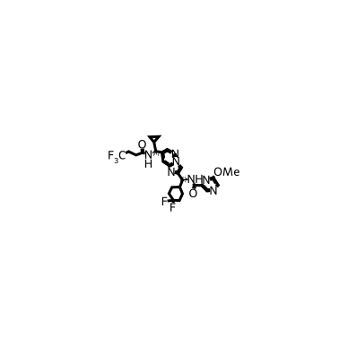 COc1cncc(C(=O)N[C@H](c2cn3ncc([C@H](NC(=O)CCC(F)(F)F)C4CC4)cc3n2)C2CCC(F)(F)CC2)n1